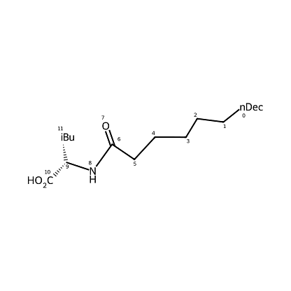 CCCCCCCCCCCCCCCC(=O)N[C@H](C(=O)O)[C@@H](C)CC